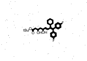 CC(C)(C)OC(=O)CC(O)CC(O)/C=C/C(=C(c1ccc(F)cc1)c1ccc(F)cc1)C1CCCCC1